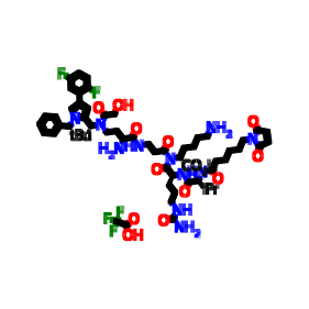 CC(C)[C@H](NC(=O)CCCCCN1C(=O)C=CC1=O)C(=O)N[C@@H](CCCNC(N)=O)C(=O)N(C(=O)CCNC(=O)[C@@H](N)CCN(C(=O)CO)[C@@H](c1cc(-c2cc(F)ccc2F)cn1Cc1ccccc1)C(C)(C)C)[C@@H](CCCCN)C(=O)O.O=C(O)C(F)(F)F